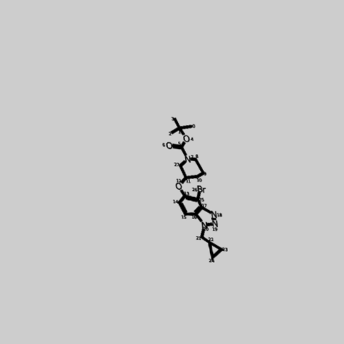 CC(C)(C)OC(=O)N1CCCC(Oc2ccc3c(nnn3CC3CC3)c2Br)C1